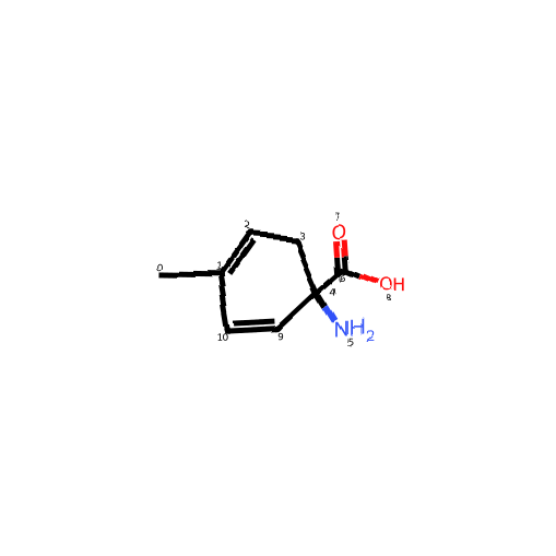 CC1=CCC(N)(C(=O)O)C=C1